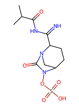 CC(C)C(=O)NC(=N)C1CCC2CN1C(=O)N2OS(=O)(=O)O